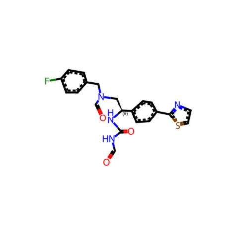 O=CNC(=O)N[C@@H](CN(C=O)Cc1ccc(F)cc1)c1ccc(-c2nccs2)cc1